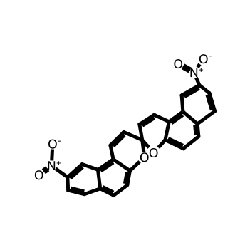 O=[N+]([O-])c1ccc2ccc3c(c2c1)C=CC1(C=Cc2c(ccc4ccc([N+](=O)[O-])cc24)O1)O3